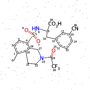 Cc1ccc(S(=O)(=O)NC(Cc2cccc(C#N)c2)C(=O)O)c2c1CCN(C(=O)C(F)(F)F)C2